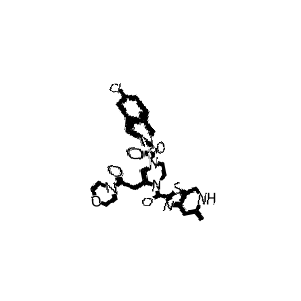 CC1Cc2nc(C(=O)N3CCN(S(=O)(=O)n4cc5ccc(Cl)cc5c4)CC3CC(=O)N3CCOCC3)sc2CN1